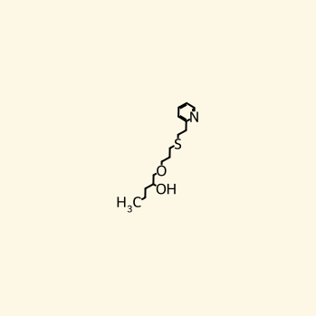 CCCC(O)COCCCSCCc1ccccn1